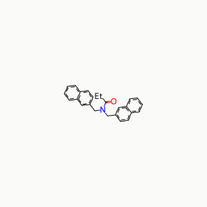 CCC(=O)N(Cc1ccc2ccccc2c1)Cc1ccc2ccccc2c1